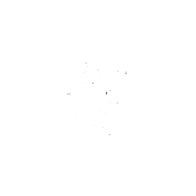 Cl.O=C(N[C@@H]1CCNC[C@H]1c1cc(Cl)cc(Cl)c1)c1cc(C(F)(F)F)cc(C(F)(F)F)c1